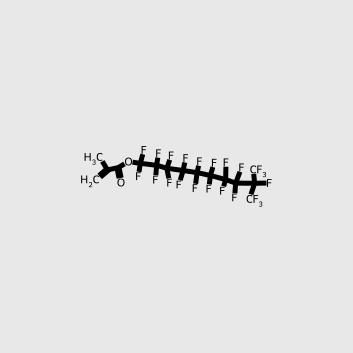 C=C(C)C(=O)OC(F)(F)C(F)(F)C(F)(F)C(F)(F)C(F)(F)C(F)(F)C(F)(F)C(F)(F)C(F)(C(F)(F)F)C(F)(F)F